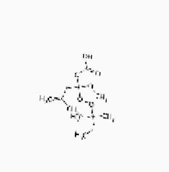 C=C(C)CC(OC)(OOC(C)(C)CC)OC(=O)O